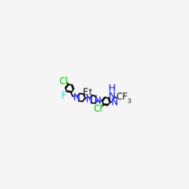 CC[C@H]1CN(c2cc3[nH]c(C(F)(F)F)nc3cc2Cl)CCN1C1CCN(Cc2ccc(Cl)cc2F)CC1